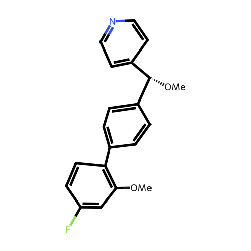 COc1cc(F)ccc1-c1ccc([C@@H](OC)c2ccncc2)cc1